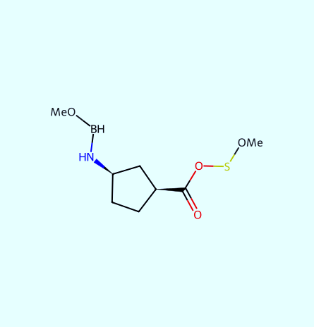 COBN[C@@H]1CC[C@H](C(=O)OSOC)C1